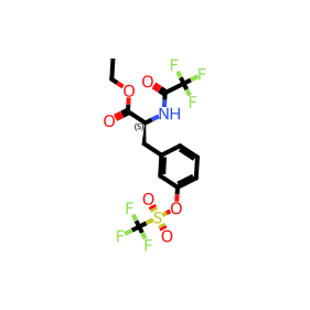 CCOC(=O)[C@H](Cc1cccc(OS(=O)(=O)C(F)(F)F)c1)NC(=O)C(F)(F)F